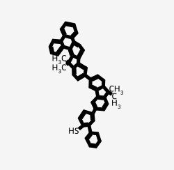 CC1(C)c2ccc(C3=CCC4C(=C3)c3cc(-c5ccc(S)c(C6=CC=CCC6)c5)ccc3C4(C)C)cc2-c2ccc3c4ccccc4c4ccccc4c3c21